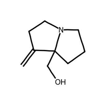 C=C1CCN2CCCC12CO